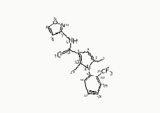 Cc1cc(C(=O)Nc2ccon2)c(C)n1-c1ccccc1C(F)(F)F